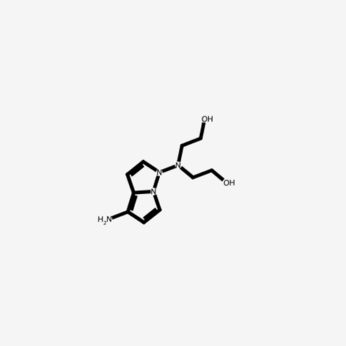 Nc1ccn2c1ccn2N(CCO)CCO